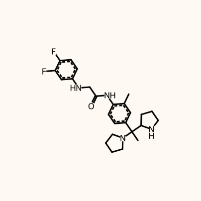 Cc1cc(C(C)(C2CCCN2)N2CCCC2)ccc1NC(=O)CNc1ccc(F)c(F)c1